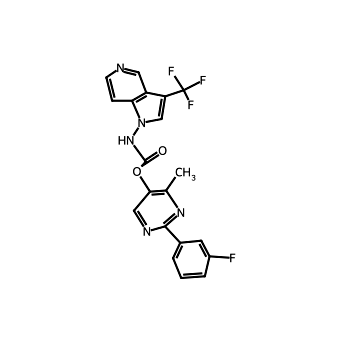 Cc1nc(-c2cccc(F)c2)ncc1OC(=O)Nn1cc(C(F)(F)F)c2cnccc21